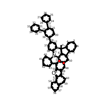 CC1(C)c2ccccc2-c2cccc(N(c3ccc(-c4ccc(-c5ccccc5)c(-c5ccccc5)c4)cc3)c3ccccc3-c3cccc4c3oc3c5ccccc5ccc43)c21